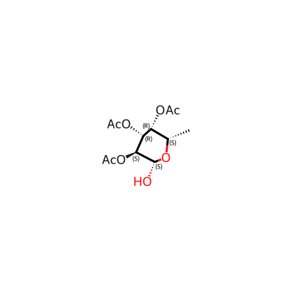 CC(=O)O[C@@H]1[C@H](OC(C)=O)[C@H](C)O[C@H](O)[C@H]1OC(C)=O